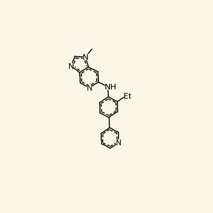 CCc1cc(-c2cccnc2)ccc1Nc1cc2c(cn1)ncn2C